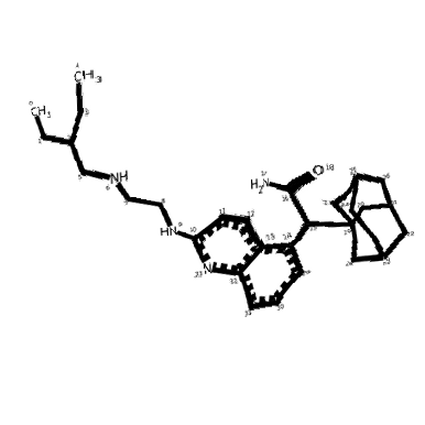 CCC(CC)CNCCNc1ccc2c(C(C(N)=O)C34CC5CC(CC(C5)C3)C4)cccc2n1